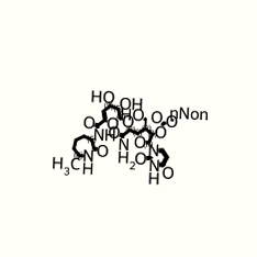 CCCCCCCCCOC(=O)O[C@@H]1[C@H](CO)[C@@H]([C@@H](O[C@H]2OC(C(=O)N[C@H]3CCC[C@@H](C)NC3=O)=C[C@H](O)[C@@H]2O)C(N)=O)O[C@H]1n1ccc(=O)[nH]c1=O